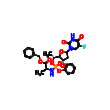 C[C@H](N[P@@](=O)(Oc1ccccc1)O[C@H](C)[C@H]1O[C@@H](n2cc(F)c(=O)[nH]c2=O)C[C@@H]1O)C(=O)OCc1ccccc1